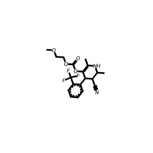 COCCOC(=O)OC1=C(C)NC(C)C(C#N)C1c1ccccc1C(F)(F)F